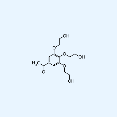 CC(=O)c1cc(OCCO)c(OCCO)c(OCCO)c1